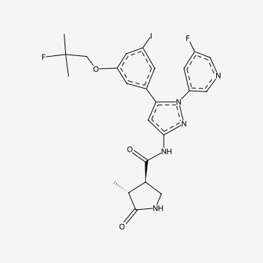 C[C@H]1C(=O)NC[C@@H]1C(=O)Nc1cc(-c2cc(I)cc(OCC(C)(C)F)c2)n(-c2cncc(F)c2)n1